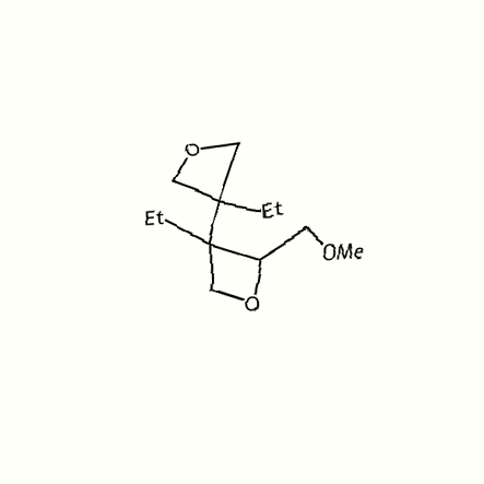 CCC1(C2(CC)COC2COC)COC1